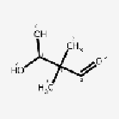 CC(C)([C]=O)C(O)O